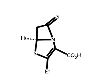 CCC1=C(C(=O)O)N2C(=S)C[C@@H]2S1